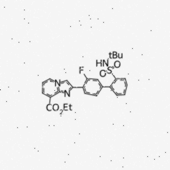 CCOC(=O)c1cccn2cc(-c3ccc(-c4ccccc4S(=O)(=O)NC(C)(C)C)cc3F)nc12